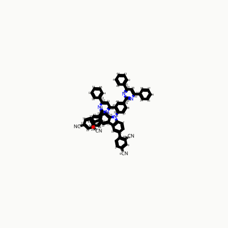 N#Cc1ccc(-c2ccc3c(c2)c2cc(-c4ccc(C#N)cc4C#N)ccc2n3-c2ccc(-c3nc(-c4ccccc4)cc(-c4ccccc4)n3)cc2-c2cc(-c3ccccc3)nc(-c3ccccc3)n2)c(C#N)c1